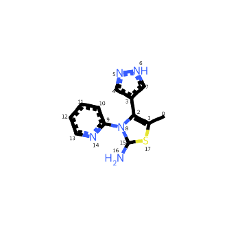 CC1=C(c2cn[nH]c2)N(c2ccccn2)C(N)S1